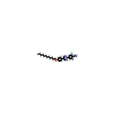 CCCCCCCCCCCCOc1ccc(-c2cnc(-c3cc(F)c(C#N)c(F)c3)nc2)cc1